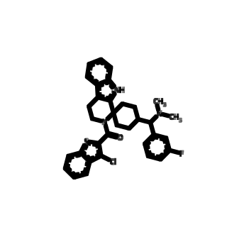 CN(C)C(c1cccc(F)c1)C1CCC2(CC1)c1[nH]c3ccccc3c1CCN2C(=O)c1sc2ccccc2c1Cl